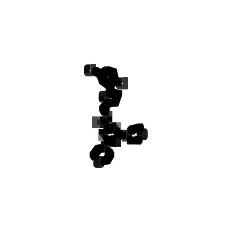 Clc1ccc(Cl)c(C2=CCC(/C=N/Nc3nc(N4CCOCC4)nc(N4CCOCC4)n3)O2)c1